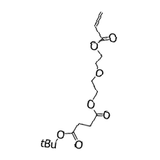 C=CC(=O)OCCOCCOC(=O)CCC(=O)OC(C)(C)C